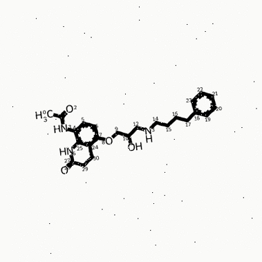 CC(=O)Nc1ccc(OCC(O)CNCCCCc2ccccc2)c2c1NC(=O)CC2